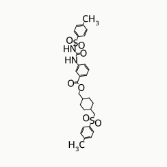 Cc1ccc(S(=O)(=O)CC2CCC(COC(=O)c3cccc(NC(=O)NS(=O)(=O)c4ccc(C)cc4)c3)CC2)cc1